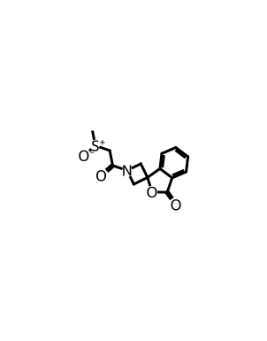 C[S+]([O-])CC(=O)N1CC2(C1)OC(=O)c1ccccc12